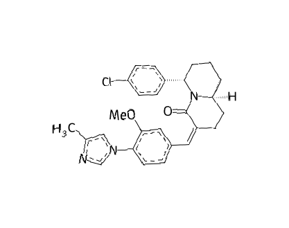 COc1cc(C=C2CC[C@@H]3CCC[C@@H](c4ccc(Cl)cc4)N3C2=O)ccc1-n1cnc(C)c1